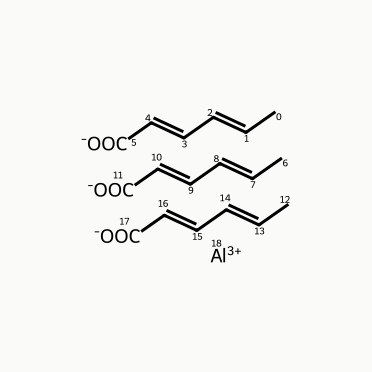 CC=CC=CC(=O)[O-].CC=CC=CC(=O)[O-].CC=CC=CC(=O)[O-].[Al+3]